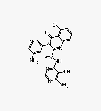 C[C@H](Nc1ncnc(N)c1C#N)c1nc2cccc(Cl)c2c(=O)n1-c1cncc(N)c1